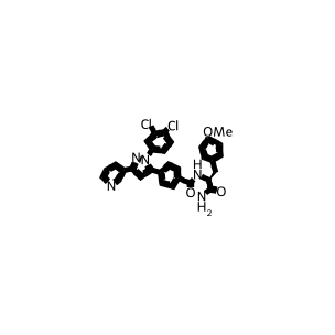 COc1ccc(C[C@H](NC(=O)c2ccc(-c3cc(-c4cccnc4)nn3-c3ccc(Cl)c(Cl)c3)cc2)C(N)=O)cc1